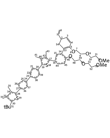 C=CC1C=CC(OCCOCCOC)=C(c2cc(-c3sc(-c4ccc(-c5ccc(-c6sc(C(C)(C)C)c(C)c6C)cc5)cc4)c(C)c3C)ccc2OCCOCCOC)C1